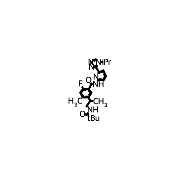 Cc1cc(F)c(C(=O)Nc2cccc(-c3nncn3C(C)C)n2)cc1C(C)CNC(=O)C(C)(C)C